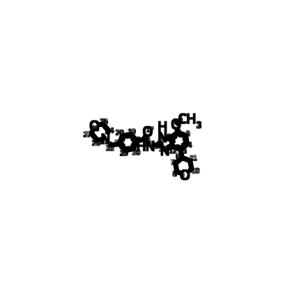 COc1ccc(C2CCOCC2)c2nc(NC(=O)c3ccc(CN4CCOCC4)cc3)[nH]c12